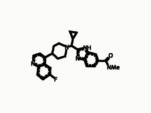 CNC(=O)c1ccc2nc(C(C3CC3)N3CCC(c4ccnc5ccc(F)cc45)CC3)[nH]c2c1